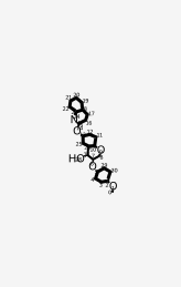 COc1ccc(O[C@@H]2COc3ccc(Oc4ccc5ccccc5n4)cc3[C@@H]2O)cc1